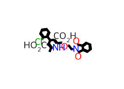 CC1=C(C(=O)O)C(c2ccccc2Cl)C(C(=O)O)=C(COCCN2C(=O)c3ccccc3C2=O)N1